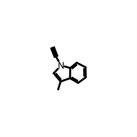 C#Cn1cc(C)c2ccccc21